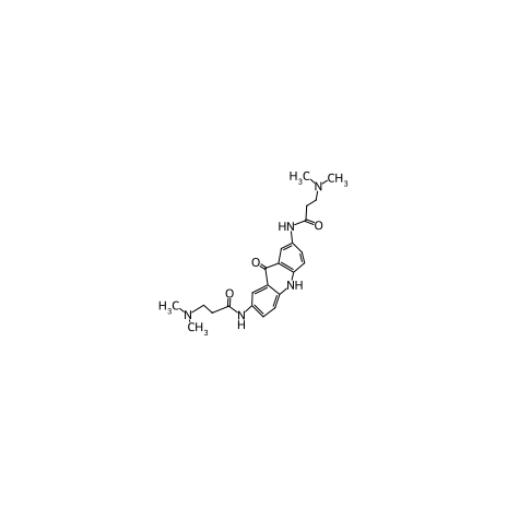 CN(C)CCC(=O)Nc1ccc2[nH]c3ccc(NC(=O)CCN(C)C)cc3c(=O)c2c1